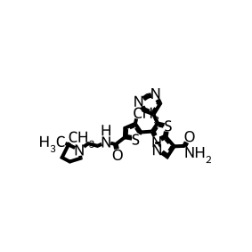 Cc1cc(C(=O)NCCN2CCCC2(C)C)sc1-c1c(-c2cncnc2)sc2c(C(N)=O)cnn12